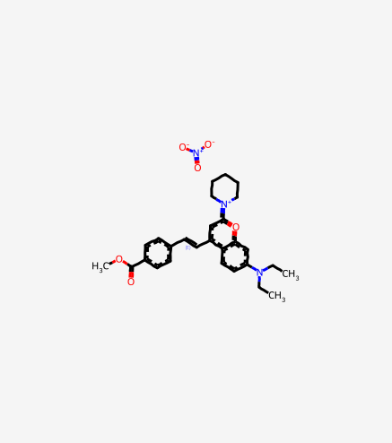 CCN(CC)c1ccc2c(/C=C/c3ccc(C(=O)OC)cc3)cc(=[N+]3CCCCC3)oc2c1.O=[N+]([O-])[O-]